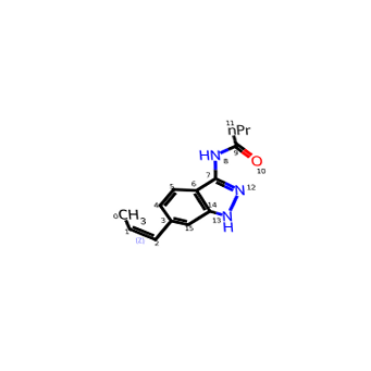 C/C=C\c1ccc2c(NC(=O)CCC)n[nH]c2c1